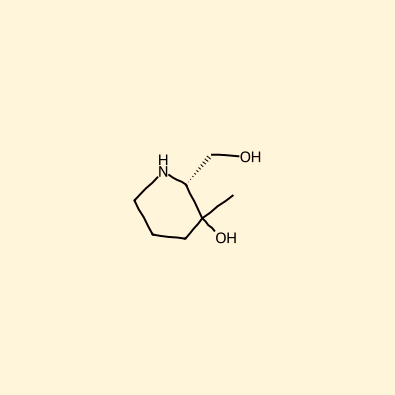 CC1(O)CCCN[C@@H]1CO